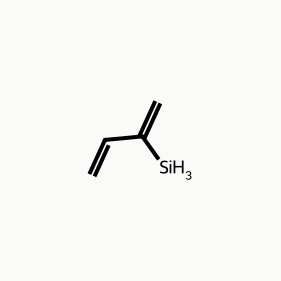 C=CC(=C)[SiH3]